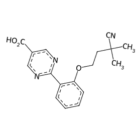 CC(C)(C#N)CCOc1ccccc1-c1ncc(C(=O)O)cn1